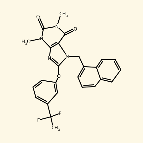 Cn1c(=O)c2c(nc(Oc3cccc(C(C)(F)F)c3)n2Cc2cccc3ccccc23)n(C)c1=O